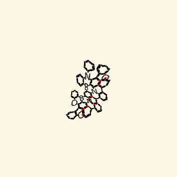 c1ccc(-c2ccccc2N2c3cc4c(cc3B3c5ccccc5Oc5c3c2cc2oc3ccccc3c52)B2c3ccccc3N(c3ccccc3)c3c2c(cc2oc5ccccc5c32)N4c2c(-c3ccccc3)cccc2-c2ccccc2)cc1